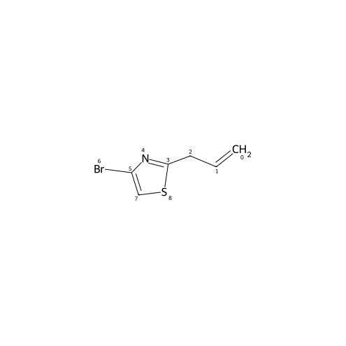 C=CCc1nc(Br)cs1